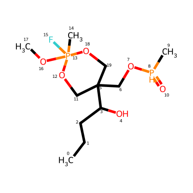 CCCC(O)C1(CO[PH](C)=O)COP(C)(F)(OC)OC1